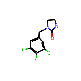 O=C1[N]CCN1Cc1cc(Cl)c(Cl)c(Cl)c1